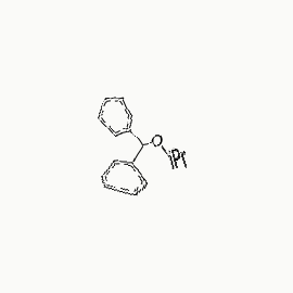 CC(C)OC(c1ccccc1)c1ccccc1